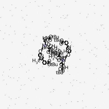 CC(C)(C)OC(=O)Nc1nc(/C(=N/OCCOc2ccc3nc(C4CCCN(C(=O)OC(C)(C)C)C4)cn3c2)C(=O)N[C@@H]2C(=O)N(OS(=O)(=O)O)C2(C)C)cs1.C[n+]1c(C2CCCN(C(=O)OC(C)(C)C)C2)cn2cc(OCCO/N=C(\C(=O)N[C@@H]3C(=O)N(OS(=O)(=O)[O-])C3(C)C)c3csc(NC(=O)OC(C)(C)C)n3)ccc21